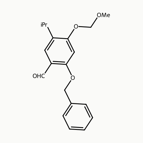 COCOc1cc(OCc2ccccc2)c(C=O)cc1C(C)C